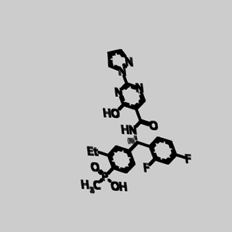 CCc1cc([C@H](NC(=O)c2cnc(-n3cccn3)nc2O)c2ccc(F)cc2F)ccc1P(C)(=O)O